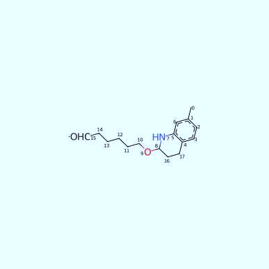 Cc1ccc2c(c1)NC(OCCCCC[C]=O)CC2